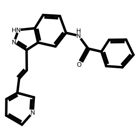 O=C(Nc1ccc2[nH]nc(C=Cc3cccnc3)c2c1)c1ccccc1